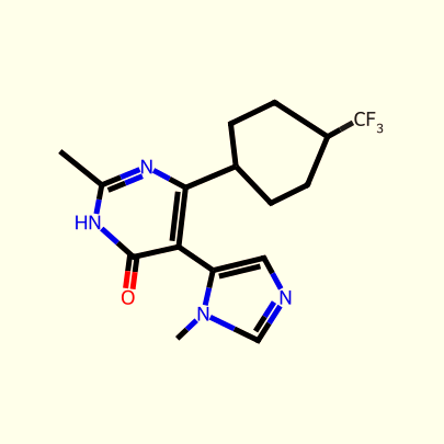 Cc1nc(C2CCC(C(F)(F)F)CC2)c(-c2cncn2C)c(=O)[nH]1